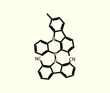 Cc1ccc2c3ccc(C)c4c3n(c2c1)-c1ccccc1B4n1c2c(C#N)cccc2c2cccc(C#N)c21